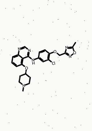 Cc1nc(COc2ccc(Nc3ncnc4cccc(OC5CCN(C)CC5)c34)cc2Cl)no1